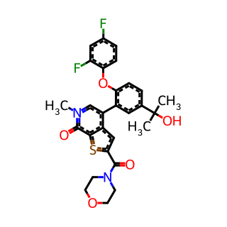 Cn1cc(-c2cc(C(C)(C)O)ccc2Oc2ccc(F)cc2F)c2cc(C(=O)N3CCOCC3)sc2c1=O